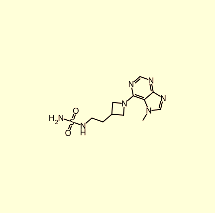 Cn1cnc2ncnc(N3CC(CCNS(N)(=O)=O)C3)c21